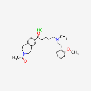 COc1ccccc1CCN(C)CCCCC(=O)c1ccc2c(c1)CCN(C(C)=O)CC2.Cl